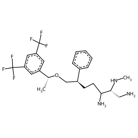 CN[C@H](CN)C(N)CC[C@@H](CO[C@H](C)c1cc(C(F)(F)F)cc(C(F)(F)F)c1)c1ccccc1